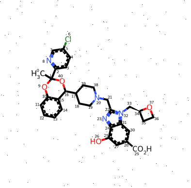 CC1(c2ccc(Cl)cn2)Oc2ccccc2C(C2CCN(Cc3nc4c(O)cc(C(=O)O)cc4n3C[C@@H]3CCO3)CC2)O1